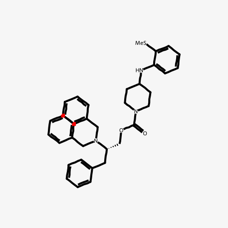 CSc1ccccc1NC1CCN(C(=O)OC[C@H](Cc2ccccc2)N(Cc2ccccc2)Cc2ccccc2)CC1